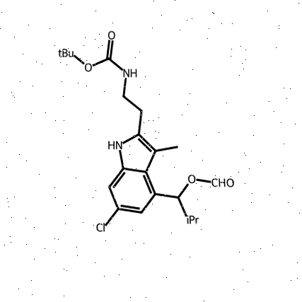 Cc1c(CCNC(=O)OC(C)(C)C)[nH]c2cc(Cl)cc(C(OC=O)C(C)C)c12